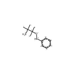 BC(C)(C)C(C)(C)OBc1ccccc1